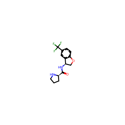 O=C(N[C@@H]1COc2ccc(C(F)(F)F)cc21)[C@H]1CCCN1